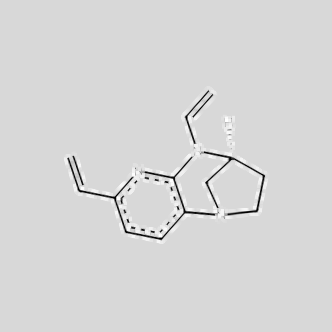 C=Cc1ccc2c(n1)N(C=C)[C@H]1CCN2C1